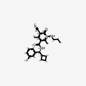 CCCNn1c(C)c(C(=O)N[C@H](c2cccc(F)c2)C2CCC2)c(C)c(C#N)c1=O